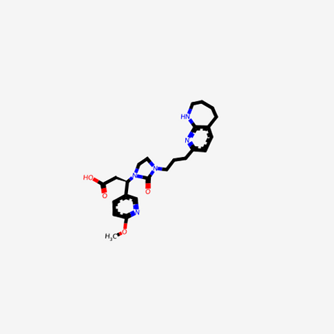 COc1ccc([C@@H](CC(=O)O)N2CCN(CCCc3ccc4c(n3)NCCCC4)C2=O)cn1